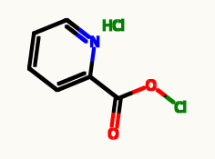 Cl.O=C(OCl)c1ccccn1